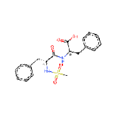 CS(=O)(=O)N[C@H](Cc1ccccc1)C(=O)N[C@H](Cc1ccccc1)C(=O)O